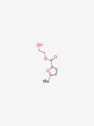 CC(C)(C)c1ccc(C(=O)OCCO)o1